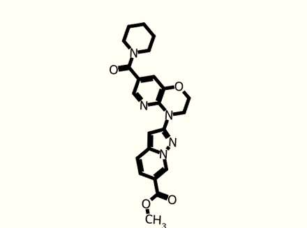 COC(=O)c1ccc2cc(N3CCOc4cc(C(=O)N5CCCCC5)cnc43)nn2c1